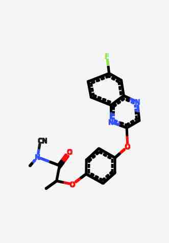 CC(Oc1ccc(Oc2cnc3cc(F)ccc3n2)cc1)C(=O)N(C)C#N